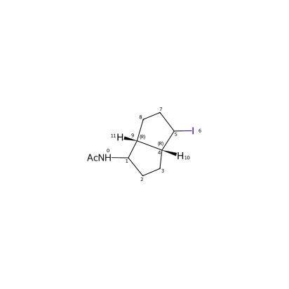 CC(=O)NC1CC[C@H]2C(I)CC[C@@H]12